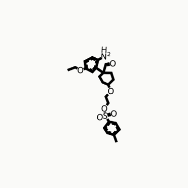 CCOc1ccc(N)c(C2(C=O)CCC(OCCOS(=O)(=O)c3ccc(C)cc3)CC2)c1